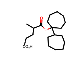 CC(CCC(=O)O)C(=O)OC1(C2CCCCCC2)CCCCCC1